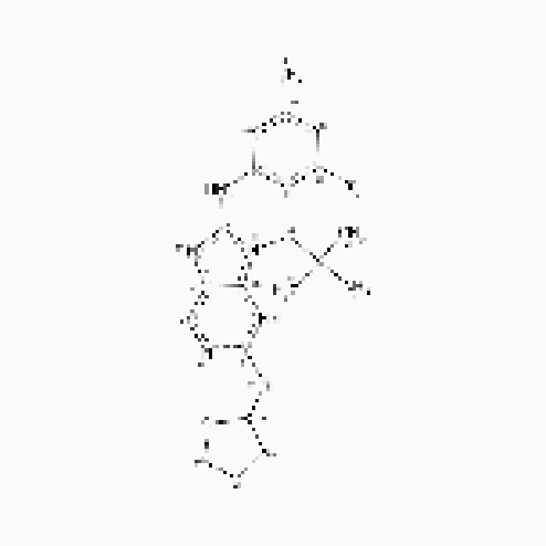 CC(C)(N)Cn1c(Nc2cc(Cl)cc(C(F)(F)F)c2)nc2cnc(NC3CCCC3)nc21